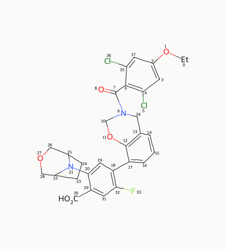 CCOc1cc(Cl)c(C(=O)N2COc3c(cccc3-c3cc(N4C5CCC4COC5)c(C(=O)O)cc3F)C2)c(Cl)c1